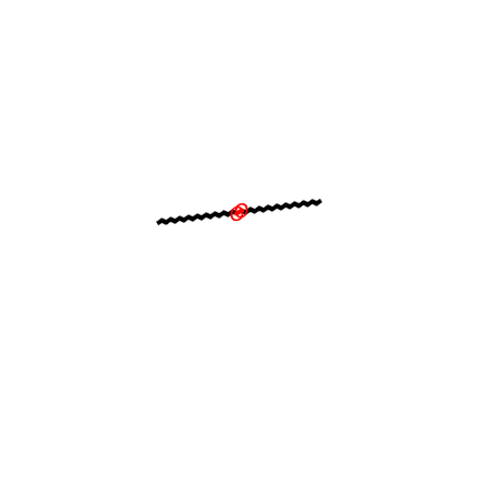 CCCCCCCCCCCCCCCCCCOOCCCCCCCCCCCCCCCCCC